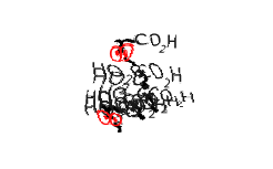 C=CCC(C(=O)O)(C(=O)O)C(=O)O.C=CCC(C(=O)O)(C(=O)O)C(=O)O.C=CCC(C(=O)O)(C(=O)O)C(=O)O.C=CCOC(=O)C(=C)C=CC(=O)O.C=CCOC(=O)C(=C)C=CC(=O)O